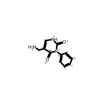 NCc1c[nH]c(=O)n(-c2ccccc2)c1=O